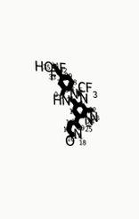 C[C@@H](Nc1nc(C(F)(F)F)nc2c1cc(-c1ccc(=O)n(C)c1)c1c2cnn1C)c1cccc(C(F)(F)CO)c1